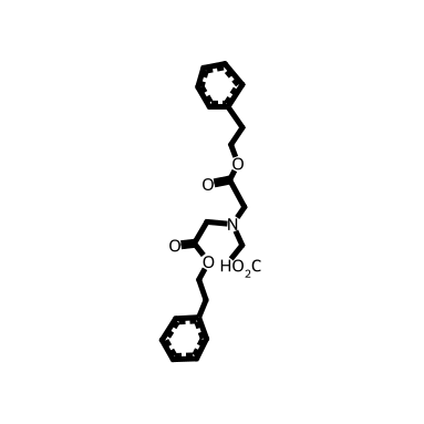 O=C(O)CN(CC(=O)OCCc1ccccc1)CC(=O)OCCc1ccccc1